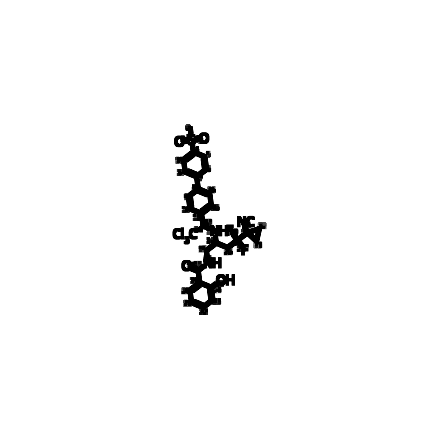 CS(=O)(=O)c1ccc(-c2ccc([C@H](NC(CNC(=O)c3ccccc3O)CC(F)(F)C3(C#N)CC3)C(Cl)(Cl)Cl)cc2)cc1